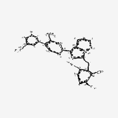 Nc1nc(-c2nc(Cc3c(F)ccc(F)c3Cl)n3ncccc23)ncc1-c1cncc(C(F)(F)F)c1